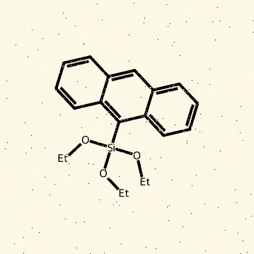 CCO[Si](OCC)(OCC)c1c2ccccc2cc2ccccc12